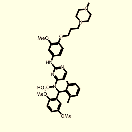 COc1ccc(OC)c(C(c2c(C)cccc2C)N(C(=O)O)c2ccnc(Nc3ccc(OCCCN4CCN(C)CC4)c(OC)c3)n2)c1